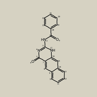 O=C(Nc1nc(=O)c2cc3ccccc3cc2[nH]1)c1ccccc1